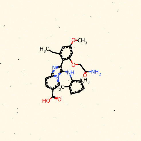 CCc1cc(OC)cc(OCC(N)=O)c1-c1nc2ccc(C(=O)O)cn2c1Nc1c(C)cccc1C